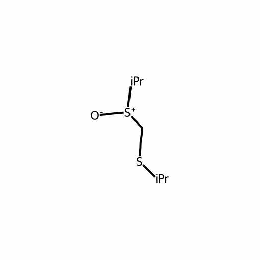 CC(C)SC[S+]([O-])C(C)C